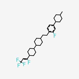 CC1CCC(c2ccc(CCC3CCC(C4CCC(/C(F)=C/C(F)(F)F)CC4)CC3)c(F)c2)CC1